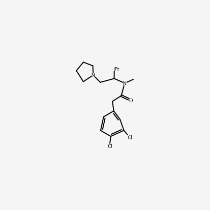 CC(C)C(CN1CCCC1)N(C)C(=O)Cc1ccc(Cl)c(Cl)c1